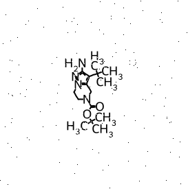 CC(C)(C)OC(=O)N1CCn2nc(N)c(C(C)(C)C)c2C1